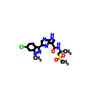 C[C@H](CS(C)(=O)=O)NC(=O)c1c[nH]c2ncc(-c3nn(C)c4cc(Cl)ccc34)nc12